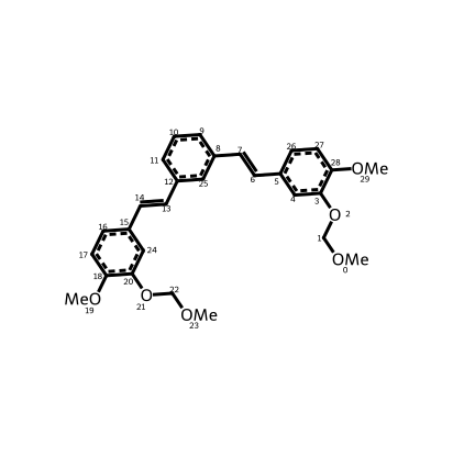 COCOc1cc(/C=C/c2cccc(/C=C/c3ccc(OC)c(OCOC)c3)c2)ccc1OC